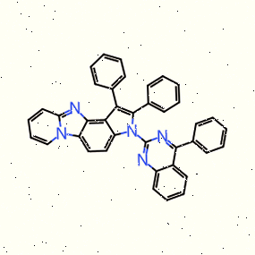 c1ccc(-c2nc(-n3c(-c4ccccc4)c(-c4ccccc4)c4c5nc6ccccn6c5ccc43)nc3ccccc23)cc1